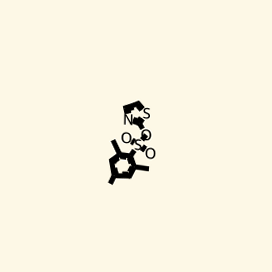 Cc1cc(C)c(S(=O)(=O)Oc2nccs2)c(C)c1